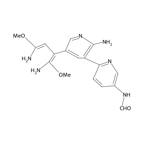 CO/C(N)=C(/C=C(\N)OC)c1cnc(N)c(-c2ccc(NC=O)cn2)c1